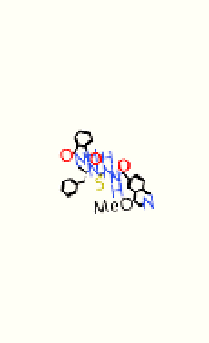 COc1cncc2ccc(C(=O)NNC(=S)N[C@H](Cc3ccccc3)CN3C(=O)c4ccccc4C3=O)cc12